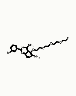 Nc1ccc2nc(-c3cccc(Br)c3)nc(N)c2c1OCCOCCOCCOCCF